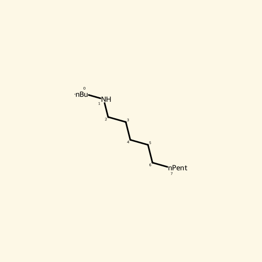 CCC[CH]NCCCCCCCCCC